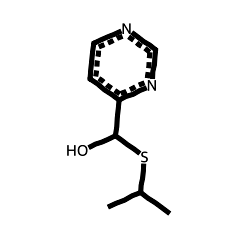 CC(C)SC(O)c1ccncn1